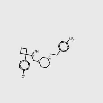 O[C@@H](CN1CCC[C@@H](CCc2ccc(C(F)(F)F)cc2)C1)C1(c2ccc(Cl)cc2)CCC1